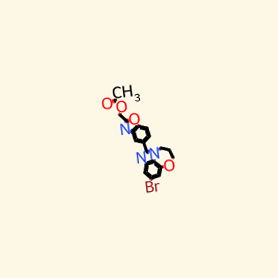 CC(=O)OCc1nc2cc(-c3nc4cc(Br)cc5c4n3CCCO5)ccc2o1